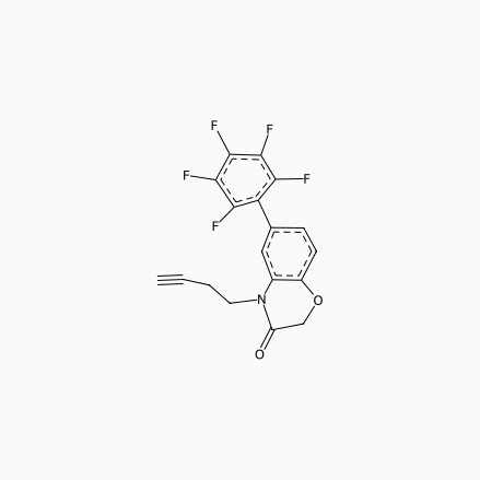 C#CCCN1C(=O)COc2ccc(-c3c(F)c(F)c(F)c(F)c3F)cc21